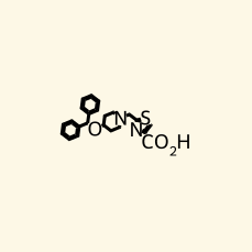 O=C(O)c1csc(CN2CCC(OC(c3ccccc3)c3ccccc3)CC2)n1